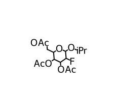 CC(=O)OCC1OC(OC(C)C)C(F)C(OC(C)=O)C1OC(C)=O